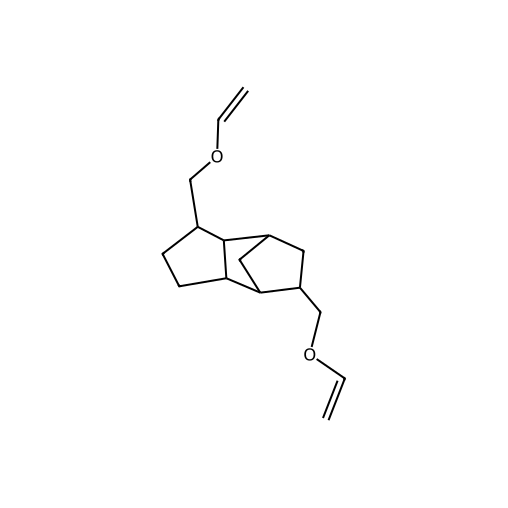 C=COCC1CC2CC1C1CCC(COC=C)C21